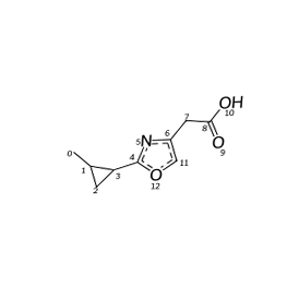 CC1CC1c1nc(CC(=O)O)co1